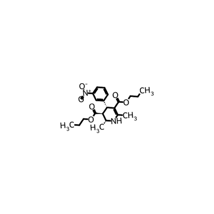 CCCOC(=O)C1=C(C)N[C@H](C)[C@@H](C(=O)OCCC)[C@@H]1c1cccc([N+](=O)[O-])c1